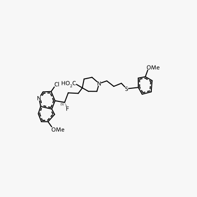 COc1cccc(SCCCN2CCC(CC[C@H](F)c3c(Cl)cnc4ccc(OC)cc34)(C(=O)O)CC2)c1